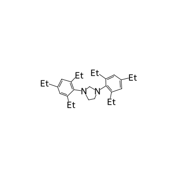 CCc1cc(CC)c(N2CCN(c3c(CC)cc(CC)cc3CC)C2)c(CC)c1